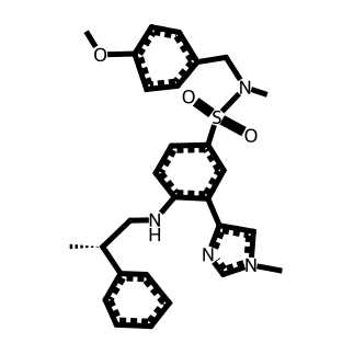 COc1ccc(CN(C)S(=O)(=O)c2ccc(NC[C@@H](C)c3ccccc3)c(-c3cn(C)cn3)c2)cc1